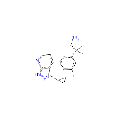 Cc1cc(-c2ccnc3[nH]nc(C4CC4)c23)cc(C2(CN)CC2)c1